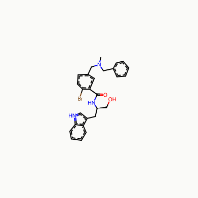 CN(Cc1ccccc1)Cc1ccc(Br)c(C(=O)N[C@@H](CO)Cc2c[nH]c3ccccc23)c1